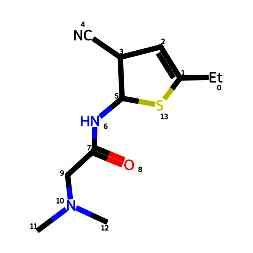 CCC1=CC(C#N)C(NC(=O)CN(C)C)S1